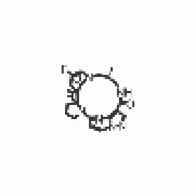 C[C@H]1CNC(=O)c2cnn3ccc(nc23)N2CCC[C@@H]2C2(C)CC(F)=CN(C1)C2=O